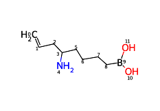 C=CCC(N)CCCCB(O)O